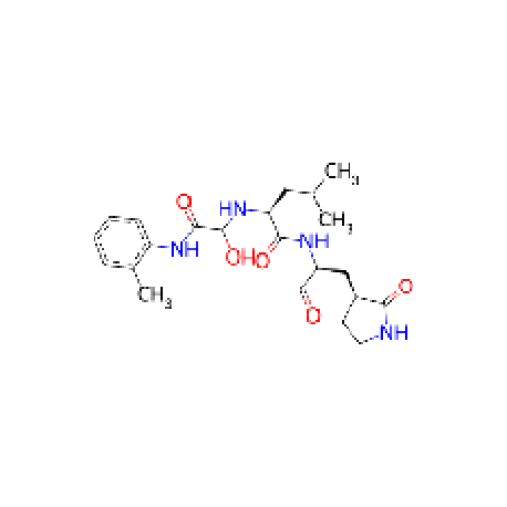 Cc1ccccc1NC(=O)C(O)N[C@@H](CC(C)C)C(=O)N[C@H](C=O)C[C@@H]1CCNC1=O